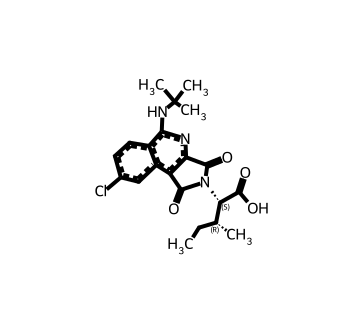 CC[C@@H](C)[C@@H](C(=O)O)N1C(=O)c2nc(NC(C)(C)C)c3ccc(Cl)cc3c2C1=O